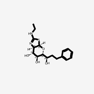 CCNC1=N[C@@H]2[C@@H](O)[C@H](O)[C@@H]([C@H](O)CCc3ccccc3)O[C@@H]2S1